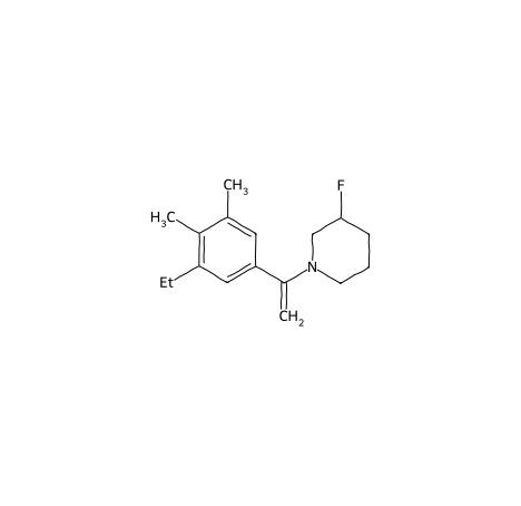 C=C(c1cc(C)c(C)c(CC)c1)N1CCCC(F)C1